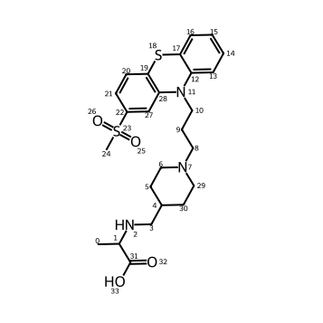 CC(NCC1CCN(CCCN2c3ccccc3Sc3ccc(S(C)(=O)=O)cc32)CC1)C(=O)O